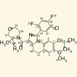 COc1cc2c(cc1OC(C)C)-n1c(-c3cc(Cl)c(F)cc3F)nc(C(=O)N3CCOCC3(C)C)c1CC2